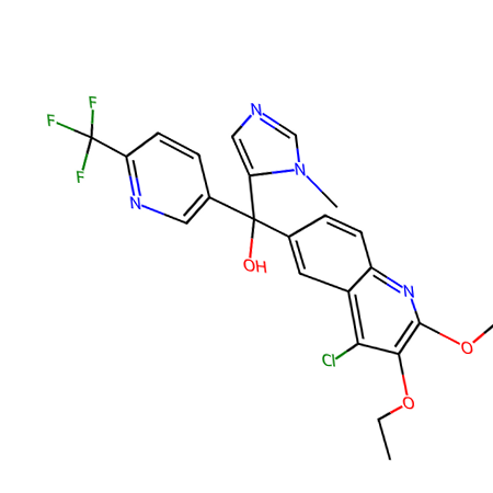 CCOc1c(OC)nc2ccc(C(O)(c3ccc(C(F)(F)F)nc3)c3cncn3C)cc2c1Cl